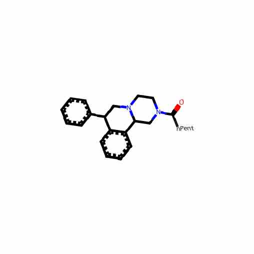 CCCCCC(=O)N1CCN2CC(c3ccccc3)c3ccccc3C2C1